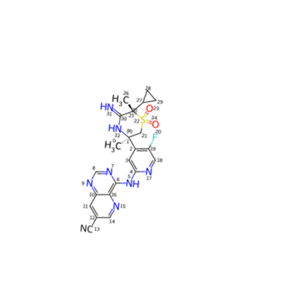 C[C@@]1(c2cc(Nc3ncnc4cc(C#N)cnc34)ncc2F)CS(=O)(=O)[C@@](C)(C2CC2)C(=N)N1